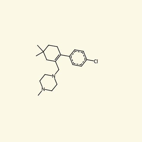 CN1CCN(CC2=C(c3ccc(Cl)cc3)CCC(C)(C)C2)CC1